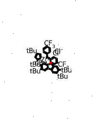 CCCCC1C=C(C(C)(C)C)C=[C]1[Zr+2](=[C](c1ccc(C(F)(F)F)cc1)c1ccc(C(F)(F)F)cc1)[c]1c2c(cc(C(C)(C)C)c1C(C)(C)C)-c1cc(C(C)(C)C)c(C(C)(C)C)cc1C2.[Cl-].[Cl-]